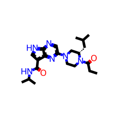 CCC(=O)N1CCN(c2cnc3[nH]cc(C(=O)NC(C)C)c3n2)C[C@@H]1CC(C)C